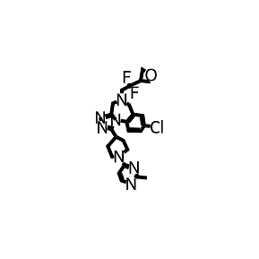 Cc1nccc(N2CCC(c3nnc4n3-c3ccc(Cl)cc3CN(CC(F)(F)C3COC3)C4)CC2)n1